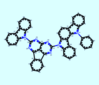 c1ccc(-n2c3ccccc3c3ccc4c(c5ccccc5n4-c4nc5c6c(nc(-n7c8ccccc8c8ccccc87)nc6n4)-c4ccccc4-5)c32)cc1